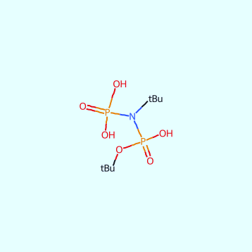 CC(C)(C)OP(=O)(O)N(C(C)(C)C)P(=O)(O)O